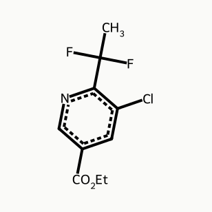 CCOC(=O)c1cnc(C(C)(F)F)c(Cl)c1